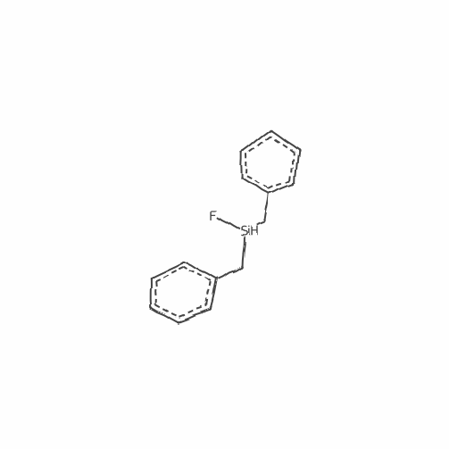 F[SiH](Cc1ccccc1)Cc1ccccc1